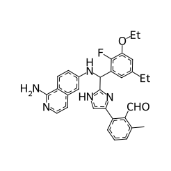 CCOc1cc(CC)cc(C(Nc2ccc3c(N)nccc3c2)c2nc(-c3cccc(C)c3C=O)c[nH]2)c1F